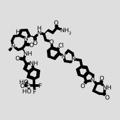 CN1CC[C@H]2CC[C@@H](C(=O)N[C@@H](CCC(N)=O)COc3cccc(N4CCN(Cc5ccc6c(c5)CN(C5CCC(=O)NC5=O)C6=O)CC4)c3Cl)N2C(=O)[C@@H](NC(=O)c2cc3cc(C(F)(F)P(=O)(O)O)ccc3[nH]2)C1